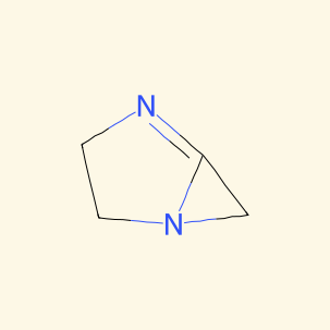 C1CN2CC2=N1